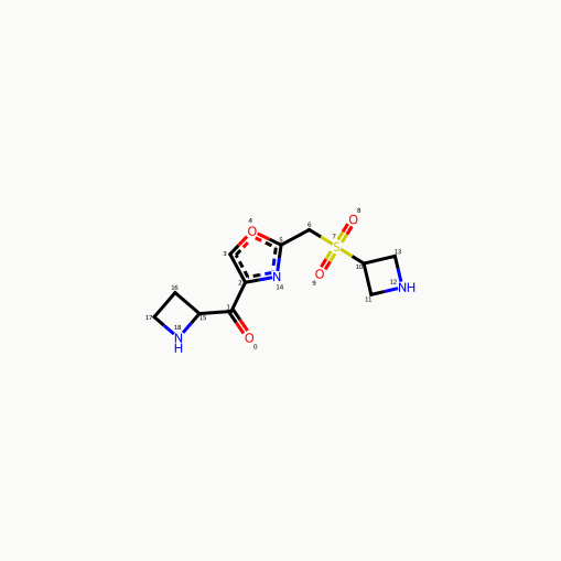 O=C(c1coc(CS(=O)(=O)C2CNC2)n1)C1CCN1